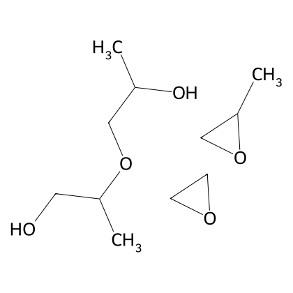 C1CO1.CC(O)COC(C)CO.CC1CO1